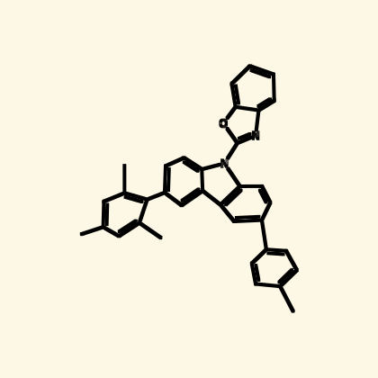 Cc1ccc(-c2ccc3c(c2)c2cc(-c4c(C)cc(C)cc4C)ccc2n3-c2nc3ccccc3o2)cc1